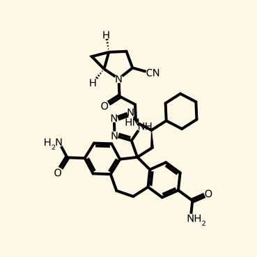 N#CC1C[C@@H]2C[C@@H]2N1C(=O)CN[C@H](CC1(c2nnn[nH]2)c2ccc(C(N)=O)cc2CCc2cc(C(N)=O)ccc21)C1CCCCC1